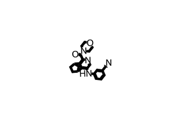 N#Cc1cccc(Nc2cnc(C(=O)N3CCOCC3)c3c2C2CCC3C2)c1